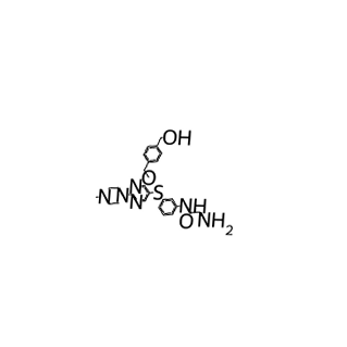 CN1CCN(c2ncc(Sc3cccc(NC(=O)CN)c3)c(OCc3ccc(CO)cc3)n2)CC1